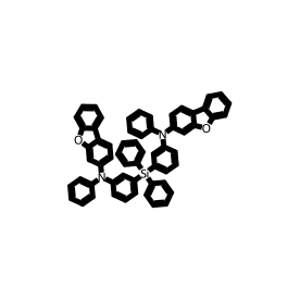 c1ccc(N(c2cccc([Si](c3ccccc3)(c3ccccc3)c3cccc(N(c4ccccc4)c4ccc5c(c4)oc4ccccc45)c3)c2)c2ccc3c(c2)oc2ccccc23)cc1